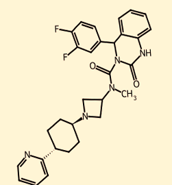 CN(C(=O)N1C(=O)Nc2ccccc2C1c1ccc(F)c(F)c1)C1CN([C@H]2CC[C@H](c3ccccn3)CC2)C1